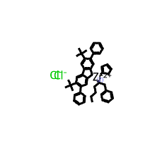 CCCC/[C](Cc1ccccc1)=[Zr+2](/[C]1=CC=CC1)[CH]1c2cc(-c3ccccc3)c(C(C)(C)C)cc2-c2cc(C(C)(C)C)c(-c3ccccc3)cc21.[Cl-].[Cl-]